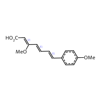 COC(=C\C(=O)O)/C=C/C=C/c1ccc(OC)cc1